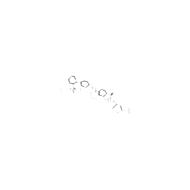 NC(=O)c1ccccc1-c1ccc(CN2CCCc3cc(C(=O)NCC4=CCCC(Cl)=C4)ccc32)cc1